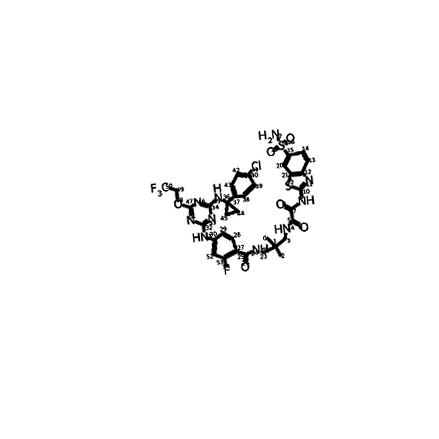 CC(C)(CNC(=O)C(=O)Nc1nc2ccc(S(N)(=O)=O)cc2s1)CNC(=O)c1ccc(Nc2nc(NC3(c4ccc(Cl)cc4)CC3)nc(OCC(F)(F)F)n2)cc1F